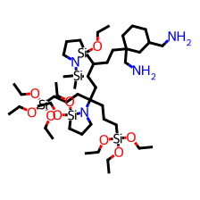 CCO[Si](CCCC(CCC[Si](OCC)(OCC)OCC)(CCC(CCC1(CN)CCCC(CN)C1)[Si]1(OCC)CCCN1[Si](C)(C)C)N1CCC[Si]1(OCC)OCC)(OCC)OCC